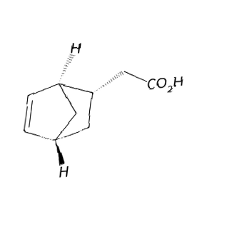 O=C(O)C[C@@H]1C[C@@H]2C=C[C@@H]1C2